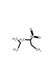 CCC.CCC(C)[SH](=O)=O